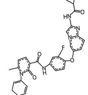 Cc1ccc(C(=O)Nc2ccc(Oc3ccc4nc(NC(=O)C5CC5)cn4c3)c(F)c2)c(=O)n1C1=CCCC=C1